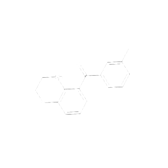 Cc1cccc(C(=O)c2cccc3c2NCCO3)c1